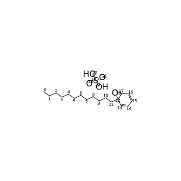 CCCCCCCCCCCCC12C=CC=CC1O2.O=S(=O)(O)O